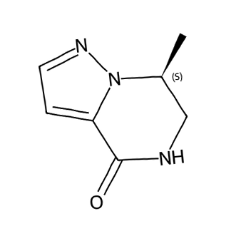 C[C@H]1CNC(=O)c2ccnn21